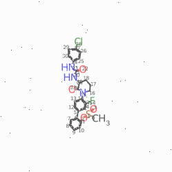 CS(=O)(=O)c1c(-c2ccccc2)ccc(N2CCC[C@@H](NC(=O)Nc3ccc(Cl)cc3)C2=O)c1F